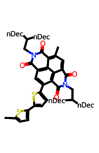 CCCCCCCCCCC(CCCCCCCCCC)CN1C(=O)c2cc(-c3ccc(-c4ccc(C)s4)s3)c3c4c(cc(C)c(c24)C1=O)C(=O)N(CC(CCCCCCCCCC)CCCCCCCCCC)C3=O